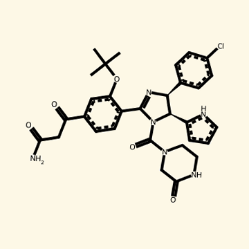 CC(C)(C)Oc1cc(C(=O)CC(N)=O)ccc1C1=N[C@@H](c2ccc(Cl)cc2)[C@@H](c2ccc[nH]2)N1C(=O)N1CCNC(=O)C1